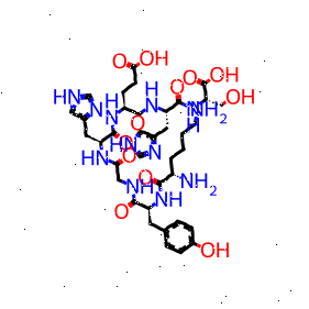 NCCCC[C@H](N)C(=O)N[C@@H](Cc1ccc(O)cc1)C(=O)NCC(=O)N[C@@H](Cc1c[nH]cn1)C(=O)N[C@@H](CCC(=O)O)C(=O)N[C@@H](Cc1c[nH]cn1)C(=O)N[C@@H](CO)C(=O)O